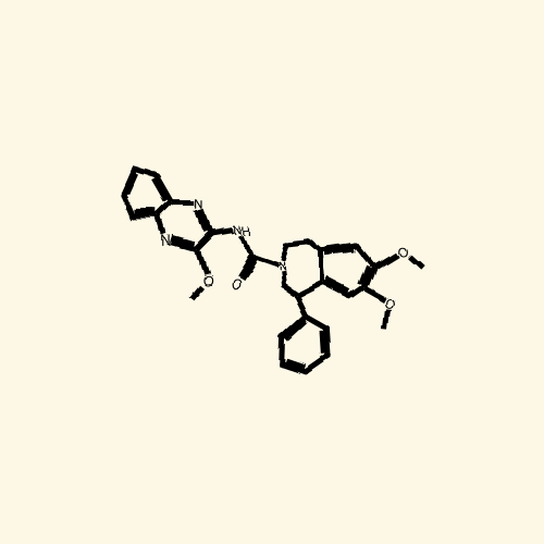 COc1cc2c(cc1OC)C(c1ccccc1)CN(C(=O)Nc1nc3ccccc3nc1OC)CC2